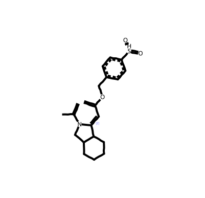 C=C(/C=C1/C2CCCCC2CN1C(=C)C)OCc1ccc([SH](=O)=O)cc1